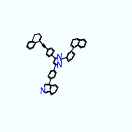 C(#Cc1ccc(-c2cc(-c3ccc(-c4cncc5ccccc45)cc3)nc(-c3cccc(-c4cccc5ccccc45)c3)n2)cc1)C1=CCCc2ccccc21